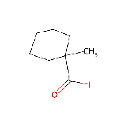 CC1(C(=O)I)CCCCC1